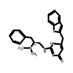 CN(C)[C@H](CNc1nc(=O)cc(Cc2cc3ccccc3s2)[nH]1)Cc1ccccc1